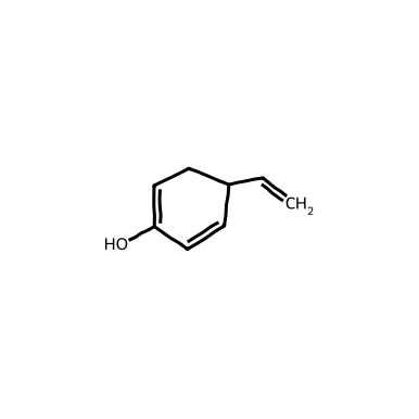 C=CC1C=CC(O)=CC1